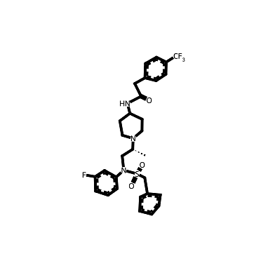 C[C@H](CN(c1cccc(F)c1)S(=O)(=O)Cc1ccccc1)N1CCC(NC(=O)Cc2ccc(C(F)(F)F)cc2)CC1